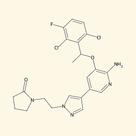 CC(Oc1cc(-c2cnn(CCN3CCCC3=O)c2)cnc1N)c1c(Cl)ccc(F)c1Cl